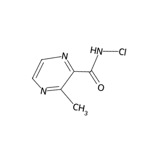 Cc1nccnc1C(=O)NCl